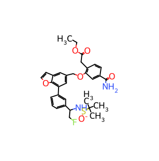 CCOC(=O)Cc1ccc(C(N)=O)cc1OCc1cc(-c2cccc(C(CF)N[S@+]([O-])C(C)(C)C)c2)c2occc2c1